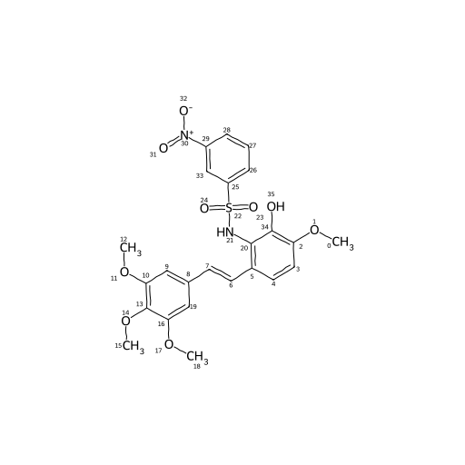 COc1ccc(C=Cc2cc(OC)c(OC)c(OC)c2)c(NS(=O)(=O)c2cccc([N+](=O)[O-])c2)c1O